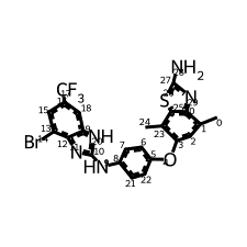 Cc1cc(Oc2ccc(Nc3nc4c(Br)cc(C(F)(F)F)cc4[nH]3)cc2)c(C)c2sc(N)nc12